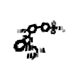 CC[C@H](N)CNc1nc(-c2cc(-c3ccc(S(C)(=O)=O)cc3)ccc2O)nc2ccccc12